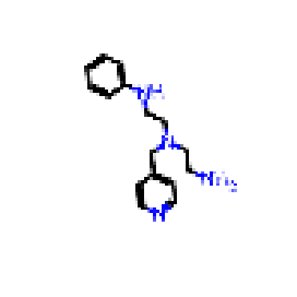 NCCN(CCNc1ccccc1)Cc1ccncc1